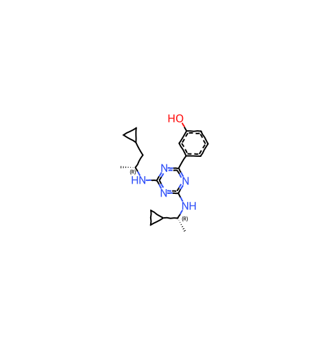 C[C@H](CC1CC1)Nc1nc(N[C@H](C)C2CC2)nc(-c2cccc(O)c2)n1